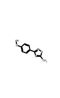 CCCOc1ccc(-c2noc(C)n2)cc1